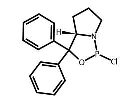 ClP1OC(c2ccccc2)(c2ccccc2)[C@@H]2CCCN21